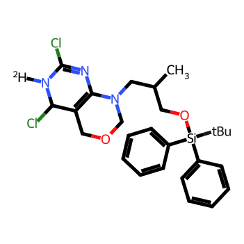 [2H]N1C(Cl)=NC2=C(COCN2CC(C)CO[Si](c2ccccc2)(c2ccccc2)C(C)(C)C)C1Cl